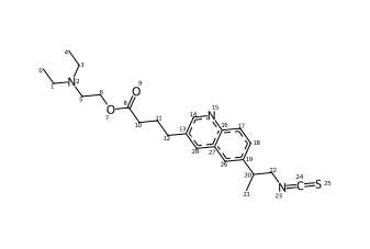 CCN(CC)CCOC(=O)CCCc1cnc2ccc(C(C)CN=C=S)cc2c1